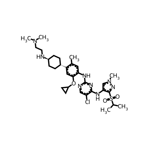 Cc1cc(Nc2ncc(Cl)c(Nc3cn(C)nc3S(=O)(=O)C(C)C)n2)c(OC2CC2)cc1[C@H]1CC[C@H](NCCN(C)C)CC1